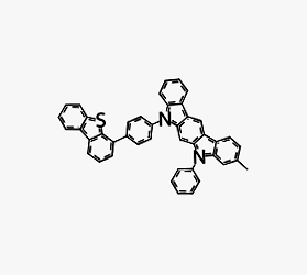 Cc1ccc2c3cc4c5ccccc5n(-c5ccc(-c6cccc7c6sc6ccccc67)cc5)c4cc3n(-c3ccccc3)c2c1